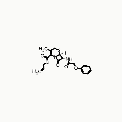 C=CCOC(=O)C1=C(C)CS[C@@H]2[C@H](NC(=O)COc3ccccc3)C(=O)N12